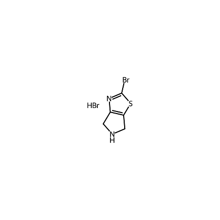 Br.Brc1nc2c(s1)CNC2